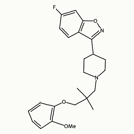 COc1ccc[c]c1OCC(C)(C)CN1CCC(c2noc3cc(F)ccc23)CC1